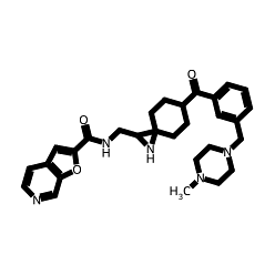 CN1CCN(Cc2cccc(C(=O)C3CCC4(CC3)NC4CNC(=O)c3cc4ccncc4o3)c2)CC1